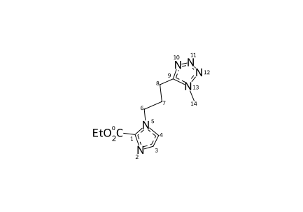 CCOC(=O)c1nccn1CCCc1nnnn1C